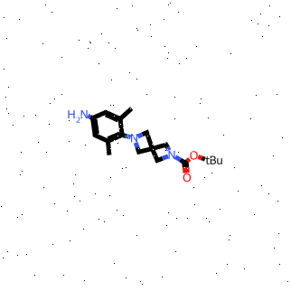 Cc1cc(N)cc(C)c1N1CC2(CN(C(=O)OC(C)(C)C)C2)C1